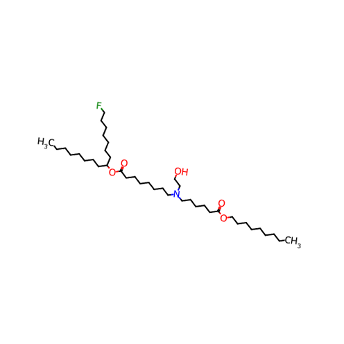 CCCCCCCCCOC(=O)CCCCCN(CCO)CCCCCCCC(=O)OC(CCCCCCCC)CCCCCCCF